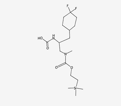 CN(CC(CC1CCC(F)(F)CC1)NC(=O)O)C(=O)OCC[Si](C)(C)C